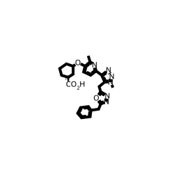 Cc1nc(-c2nnn(C)c2Cc2nnc(Cc3ccccc3)o2)ccc1OC1CCC[C@H](C(=O)O)C1